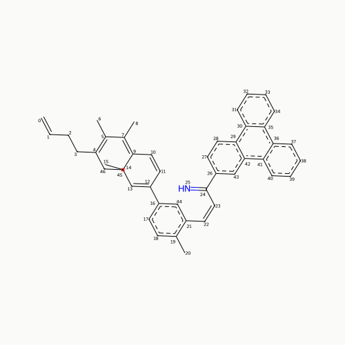 C=CCCC1=C(C)C(C)=C(/C=C\C(=C/CC)c2ccc(C)c(/C=C\C(=N)c3ccc4c5ccccc5c5ccccc5c4c3)c2)CC1